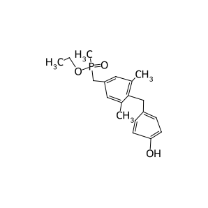 CCOP(C)(=O)Cc1cc(C)c(Cc2ccc(O)cc2)c(C)c1